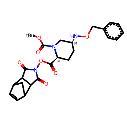 CC(C)(C)OC(=O)N1C[C@H](NOCc2ccccc2)CC[C@H]1C(=O)ON1C(=O)C2C3C=CC(C3)C2C1=O